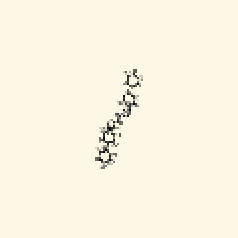 c1ccc(-c2cc[n+](OCCO[n+]3ccc(-c4ccccc4)cc3)cc2)cc1